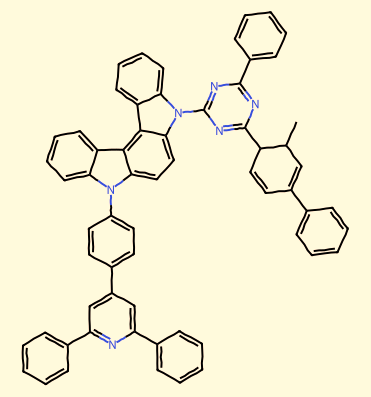 CC1C=C(c2ccccc2)C=CC1c1nc(-c2ccccc2)nc(-n2c3ccccc3c3c4c5ccccc5n(-c5ccc(-c6cc(-c7ccccc7)nc(-c7ccccc7)c6)cc5)c4ccc32)n1